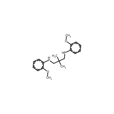 COc1ccccc1PCC(C)(C)CPc1ccccc1OC